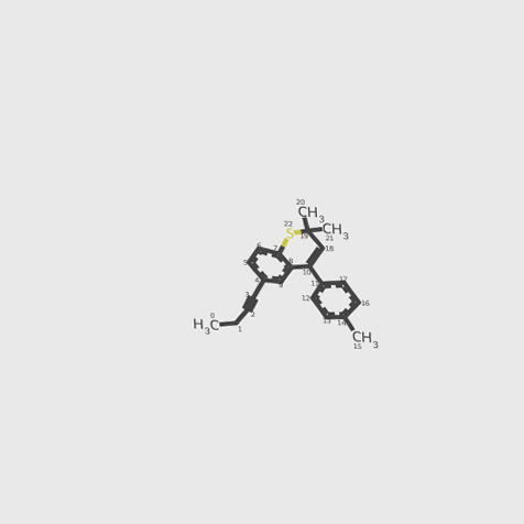 CCC#Cc1ccc2c(c1)C(c1ccc(C)cc1)=CC(C)(C)S2